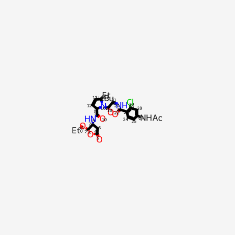 CCOC1OC(=O)CC1NC(=O)C1C=CC(CC)N1C(=O)C(NC(=O)c1ccc(NC(C)=O)cc1Cl)C(C)(C)C